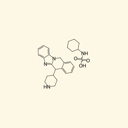 O=S(=O)(O)NC1CCCCC1.c1ccc2c(c1)Cn1c(nc3ccccc31)C2C1CCNCC1